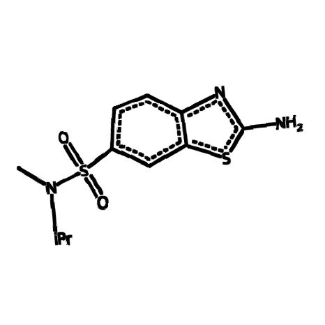 CC(C)N(C)S(=O)(=O)c1ccc2nc(N)sc2c1